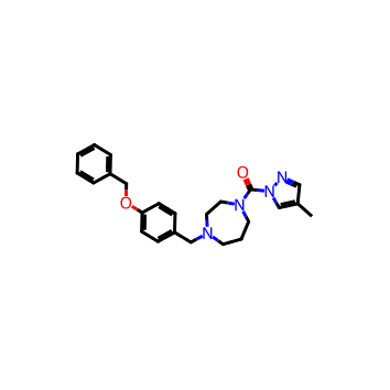 Cc1cnn(C(=O)N2CCCN(Cc3ccc(OCc4ccccc4)cc3)CC2)c1